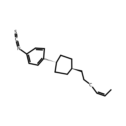 C/C=C\CCC[C@H]1CC[C@H](c2ccc(N=C=S)cc2)CC1